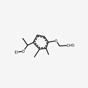 CCOC(C)c1ccc(OCC=O)c(C)c1C